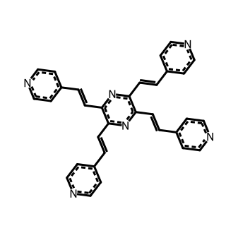 C(=Cc1nc(C=Cc2ccncc2)c(C=Cc2ccncc2)nc1C=Cc1ccncc1)c1ccncc1